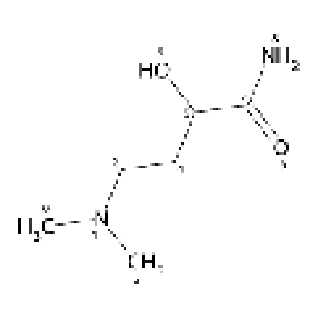 CN(C)CCC(O)C(N)=O